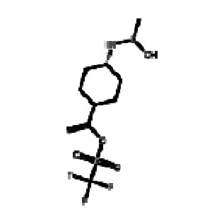 C=C(OS(=O)(=O)C(F)(F)F)[C@H]1CC[C@H](NB(C)O)CC1